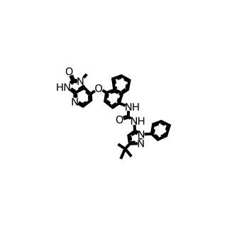 Cn1c(=O)[nH]c2nccc(Oc3ccc(NC(=O)Nc4cc(C(C)(C)C)nn4-c4ccccc4)c4ccccc34)c21